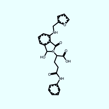 O=C(CCC(C(=O)O)N1C(=O)c2c(NCc3ccco3)cccc2C1O)Nc1ccccc1